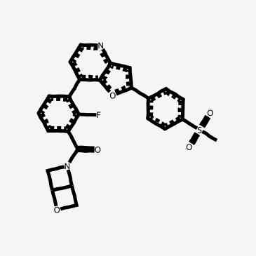 CS(=O)(=O)c1ccc(-c2cc3nccc(-c4cccc(C(=O)N5CC6OCC65)c4F)c3o2)cc1